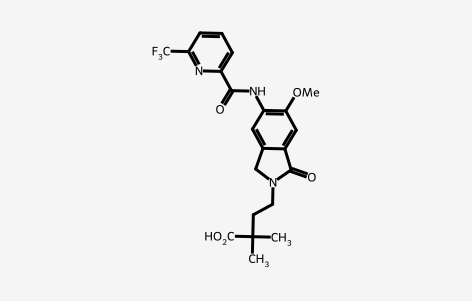 COc1cc2c(cc1NC(=O)c1cccc(C(F)(F)F)n1)CN(CCC(C)(C)C(=O)O)C2=O